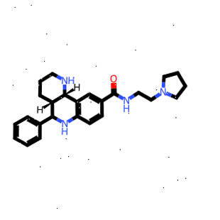 O=C(NCCN1CCCC1)c1ccc2c(c1)[C@H]1NCCC[C@H]1C(c1ccccc1)N2